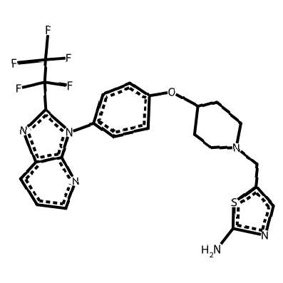 Nc1ncc(CN2CCC(Oc3ccc(-n4c(C(F)(F)C(F)(F)F)nc5cccnc54)cc3)CC2)s1